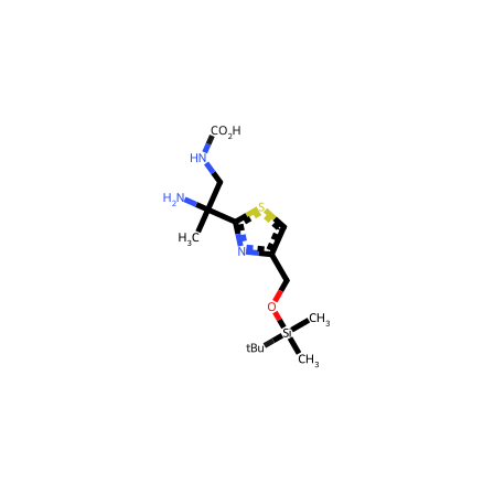 CC(N)(CNC(=O)O)c1nc(CO[Si](C)(C)C(C)(C)C)cs1